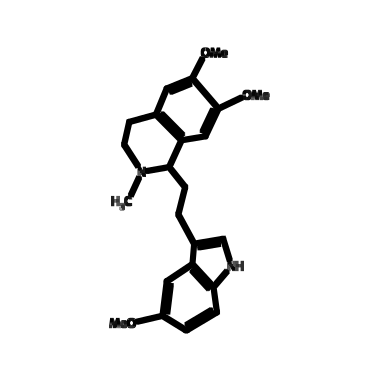 COc1ccc2[nH]cc(CCC3c4cc(OC)c(OC)cc4CCN3C)c2c1